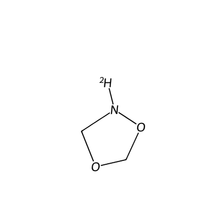 [2H]N1COCO1